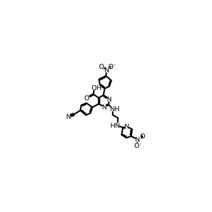 N#Cc1ccc(-c2nc(NCCNc3ccc([N+](=O)[O-])cn3)nc(-c3ccc([N+](=O)[O-])cc3)c2C(=O)O)cc1